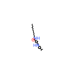 CCCCCCCCCCCCNC(=O)c1ccc(CNc2ccc(C(C)C)cc2)cc1